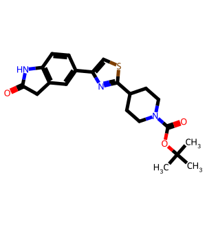 CC(C)(C)OC(=O)N1CCC(c2nc(-c3ccc4c(c3)CC(=O)N4)cs2)CC1